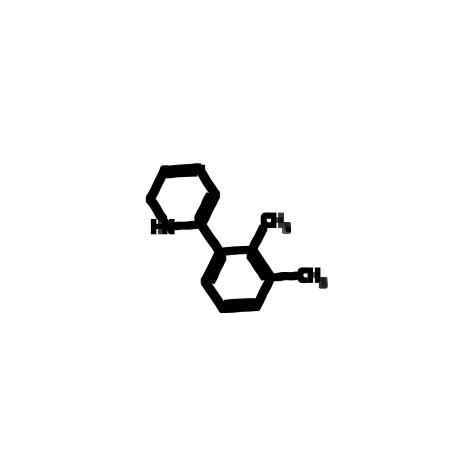 Cc1cccc(C2=C[C]=CCN2)c1C